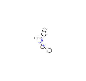 C/C(=N\Nc1nc(-c2ccccc2)cs1)c1ccc2c(c1)CCC2